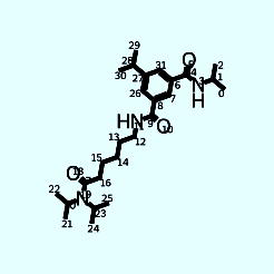 CC(C)NC(=O)c1cc(C(=O)NCCCCCC(=O)N(C(C)C)C(C)C)cc(C(C)C)c1